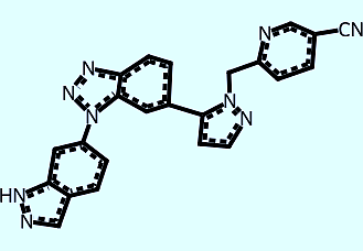 N#Cc1ccc(Cn2nccc2-c2ccc3nnn(-c4ccc5cn[nH]c5c4)c3c2)nc1